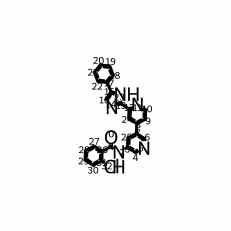 O=C(Nc1cncc(-c2ccnc(-c3ncc(-c4ccccc4)[nH]3)c2)c1)c1ccccc1Cl